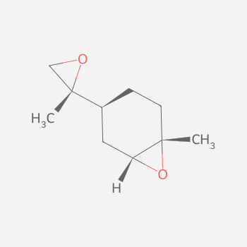 C[C@@]1([C@H]2CC[C@]3(C)O[C@@H]3C2)CO1